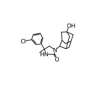 CC1(c2cccc(Cl)c2)CN(C2C3CC4CC2CC(O)(C4)C3)C(=O)N1